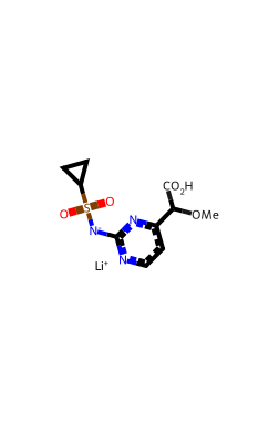 COC(C(=O)O)c1ccnc([N-]S(=O)(=O)C2CC2)n1.[Li+]